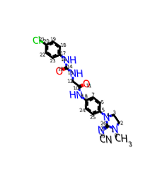 CN1CCN(c2ccc(NC(=O)CNC(=O)Nc3ccc(Cl)cc3)cc2)C1=NC#N